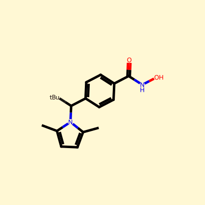 Cc1ccc(C)n1C(c1ccc(C(=O)NO)cc1)C(C)(C)C